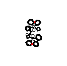 O=C(OP(c1ccccc1)(c1ccccc1)(c1ccccc1)C1CCC1)C(=O)OP(c1ccccc1)(c1ccccc1)(c1ccccc1)C1CCC1